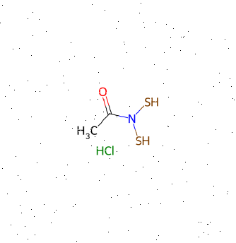 CC(=O)N(S)S.Cl